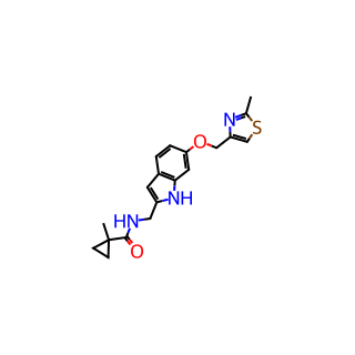 Cc1nc(COc2ccc3cc(CNC(=O)C4(C)CC4)[nH]c3c2)cs1